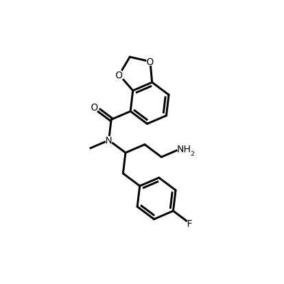 CN(C(=O)c1cccc2c1OCO2)C(CCN)Cc1ccc(F)cc1